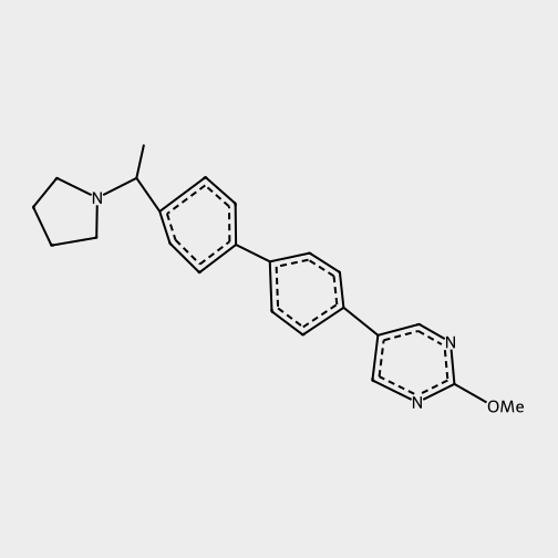 COc1ncc(-c2ccc(-c3ccc(C(C)N4CCCC4)cc3)cc2)cn1